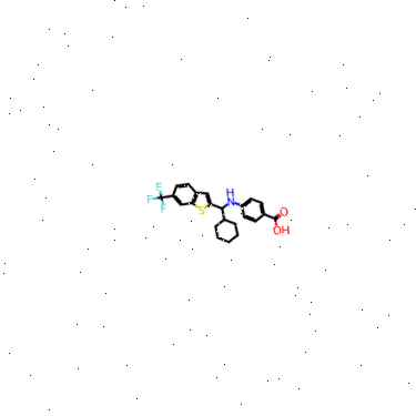 O=C(O)c1ccc(NC(c2cc3ccc(C(F)(F)F)cc3s2)C2CCCCC2)cc1